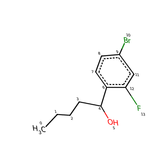 CCCCC(O)c1ccc(Br)cc1F